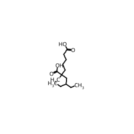 CCC(CC)CC(C)(CCCCC(=O)O)C(=O)O